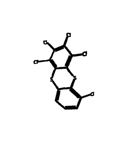 Clc1cccc2c1Sc1c(Cl)c(Cl)c(Cl)c(Cl)c1S2